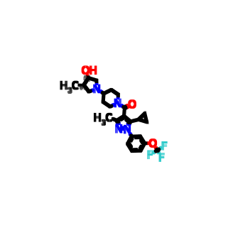 Cc1nn(-c2cccc(OC(F)(F)F)c2)c(C2CC2)c1C(=O)N1CCC(N2C[C@@H](C)[C@@H](O)C2)CC1